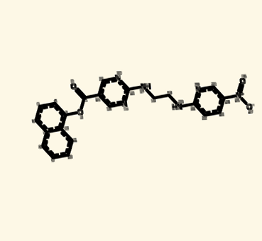 O=C(Oc1cccc2ccccc12)c1cnc(NCCNc2ccc([N+](=O)[O-])cn2)nc1